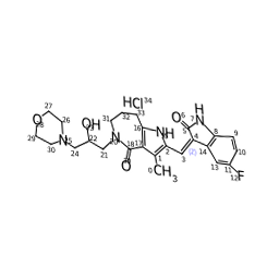 Cc1c(/C=C2\C(=O)Nc3ccc(F)cc32)[nH]c2c1C(=O)N(CC(O)CN1CCOCC1)CCC2.Cl